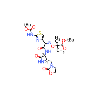 CC(C)(C)OC(=O)Nc1nc(C(=NOC(C)(C)C(=O)OC(C)(C)C)C(=O)N[C@@H]2C(=O)N[C@H]2CN2CCOC2=O)cs1